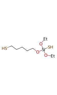 CCO[Si](S)(OCC)OCCCCCS